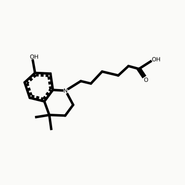 CC1(C)CCN(CCCCCC(=O)O)c2cc(O)ccc21